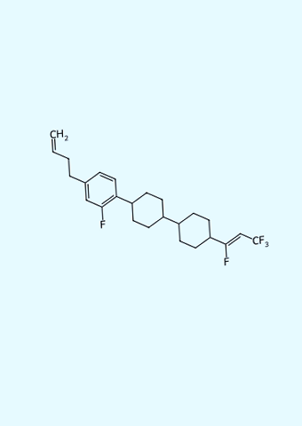 C=CCCc1ccc(C2CCC(C3CCC(/C(F)=C/C(F)(F)F)CC3)CC2)c(F)c1